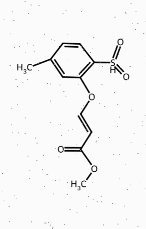 COC(=O)C=COc1cc(C)ccc1[SH](=O)=O